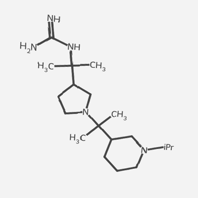 CC(C)N1CCCC(C(C)(C)N2CCC(C(C)(C)NC(=N)N)C2)C1